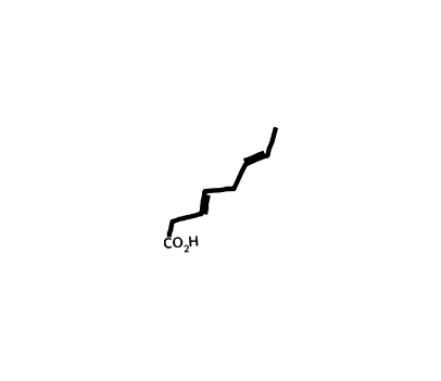 C/C=C/C/C=C/CC(=O)O